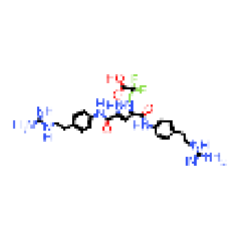 N=C(N)NCCc1ccc(NC(=O)c2cc(C(=O)Nc3ccc(CCNC(=N)N)cc3)[nH]n2)cc1.O=C(O)C(F)(F)F